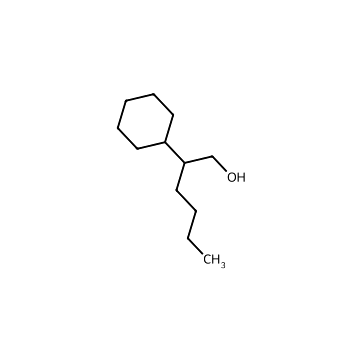 CCCCC(CO)C1CCCCC1